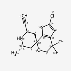 C#CC1C[C@]2(C[C@H](C)N1)OCC(F)(F)c1cc(Cl)sc12